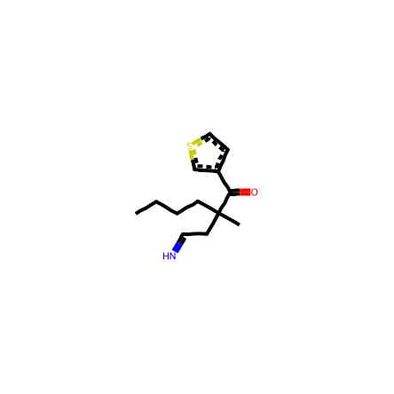 CCCCC(C)(CC=N)C(=O)c1ccsc1